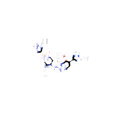 CCOc1c(-c2cn[nH]c2)ccn2nc(N[C@H]3CCN(S(=O)(=O)c4cnn(C)c4)C[C@H]3C)nc12